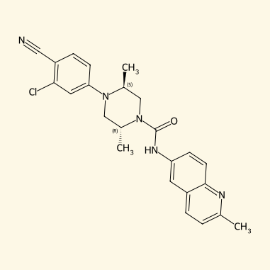 Cc1ccc2cc(NC(=O)N3C[C@H](C)N(c4ccc(C#N)c(Cl)c4)C[C@H]3C)ccc2n1